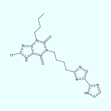 CCCCn1c(=O)n(CCCCc2noc(-c3ncc[nH]3)n2)c(=O)c2[nH]c(Cl)nc21